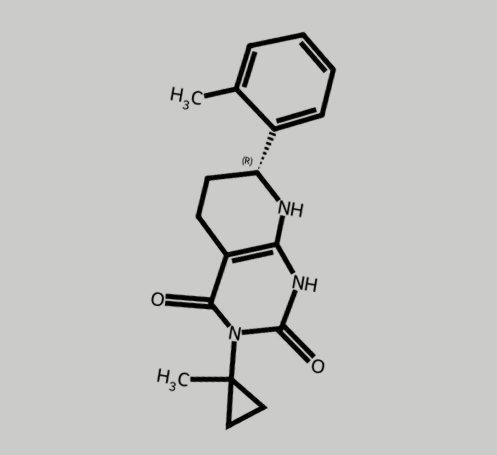 Cc1ccccc1[C@H]1CCc2c([nH]c(=O)n(C3(C)CC3)c2=O)N1